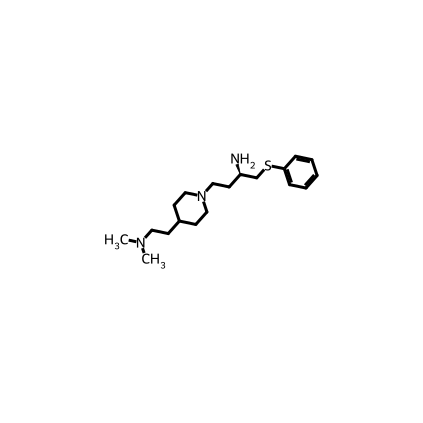 CN(C)CCC1CCN(CC[C@@H](N)CSc2ccccc2)CC1